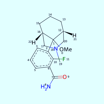 COC1(c2cccc(C(N)=O)c2F)[C@@H]2CCC[C@H]1CN(C)C2